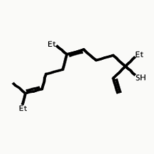 C=CC(S)(CC)CCC=C(CC)CCC=C(C)CC